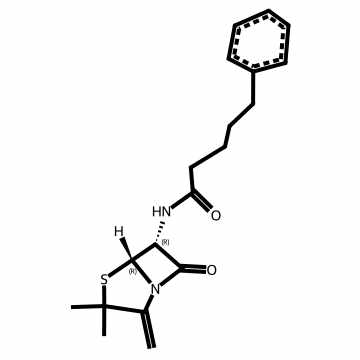 C=C1N2C(=O)[C@@H](NC(=O)CCCCc3ccccc3)[C@H]2SC1(C)C